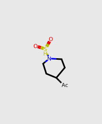 CC(=O)C1CCN([SH](=O)=O)CC1